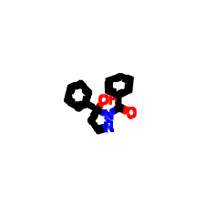 O=C(c1ccccc1)N1N=CCC1(O)c1ccccc1